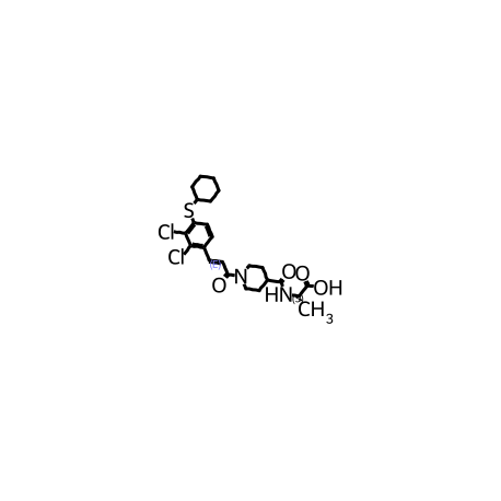 C[C@H](NC(=O)C1CCN(C(=O)/C=C/c2ccc(SC3CCCCC3)c(Cl)c2Cl)CC1)C(=O)O